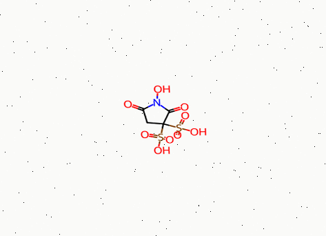 O=C1CC(S(=O)(=O)O)(S(=O)(=O)O)C(=O)N1O